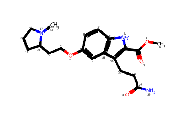 COC(=O)c1[nH]c2ccc(OCCC3CCCN3C)cc2c1CCC(N)=O